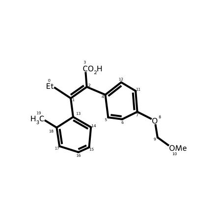 CC/C(=C(\C(=O)O)c1ccc(OCOC)cc1)c1ccccc1C